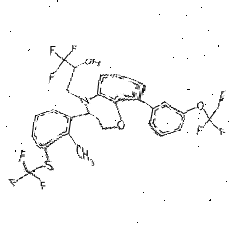 Cc1c(SC(F)(F)F)cccc1C1COc2c(-c3cccc(OC(F)(F)F)c3)cccc2N1CC(O)C(F)(F)F